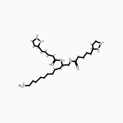 CCCCCCCCCCC(COC(=O)CCCCC1CCSS1)OC(=O)CCCCC1CCSS1